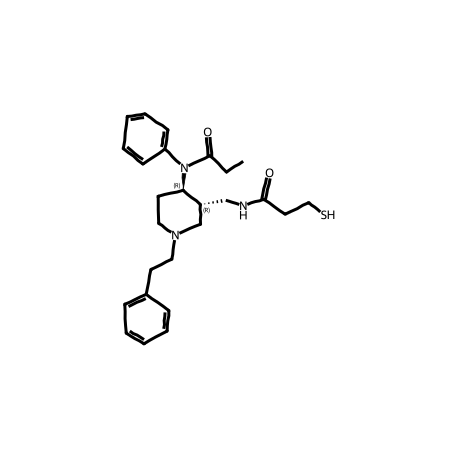 CCC(=O)N(c1ccccc1)[C@@H]1CCN(CCc2ccccc2)C[C@H]1CNC(=O)CCS